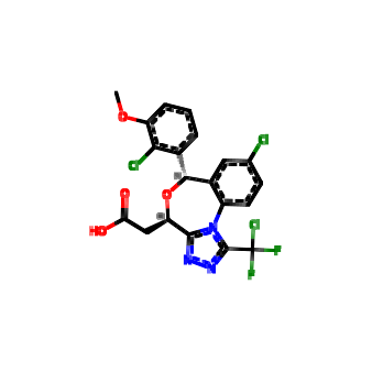 COc1cccc([C@H]2O[C@H](CC(=O)O)c3nnc(C(F)(F)Cl)n3-c3ccc(Cl)cc32)c1Cl